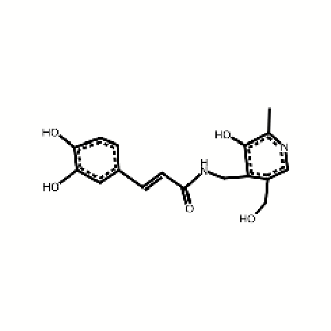 Cc1ncc(CO)c(CNC(=O)C=Cc2ccc(O)c(O)c2)c1O